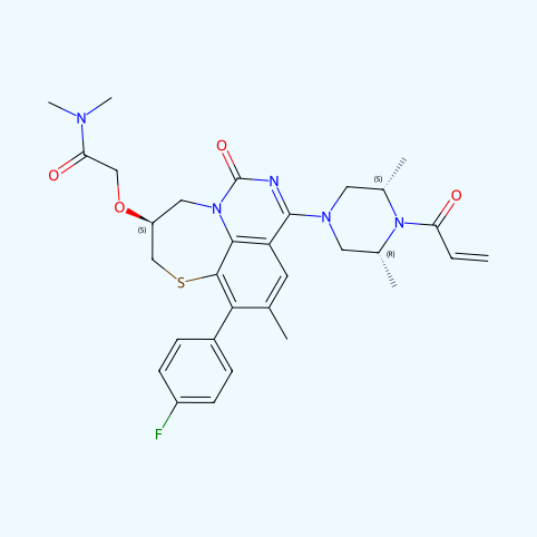 C=CC(=O)N1[C@H](C)CN(c2nc(=O)n3c4c(c(-c5ccc(F)cc5)c(C)cc24)SC[C@@H](OCC(=O)N(C)C)C3)C[C@@H]1C